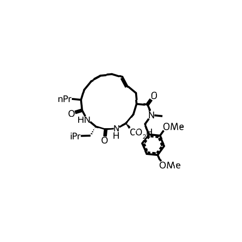 CCCC1CCCC/C=C/CC(C(=O)N(C)Cc2ccc(OC)cc2OC)C[C@@H](C(=O)O)NC(=O)[C@H](CC(C)C)NC1=O